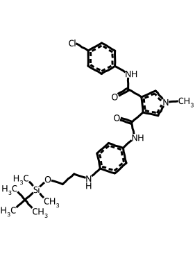 Cn1cc(C(=O)Nc2ccc(Cl)cc2)c(C(=O)Nc2ccc(NCCO[Si](C)(C)C(C)(C)C)cc2)c1